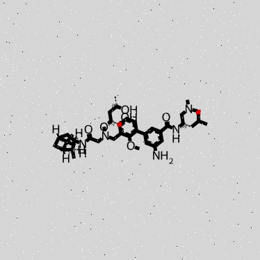 COc1c(CN(CC(=O)N[C@H]2C[C@H]3C[C@@H]([C@@H]2C)C3(C)C)O[C@@H](CO)C[C@H](C)O)cccc1-c1cc(N)cc(C(=O)N[C@@H](CC(C)C)CN(C)C)c1